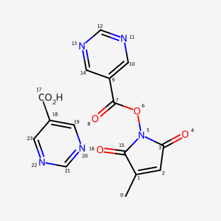 CC1=CC(=O)N(OC(=O)c2cncnc2)C1=O.O=C(O)c1cncnc1